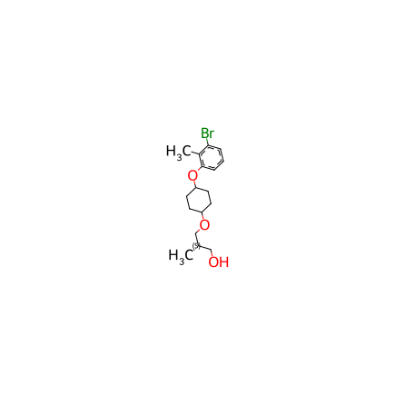 Cc1c(Br)cccc1OC1CCC(OC[C@@H](C)CO)CC1